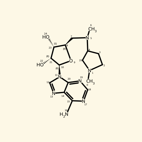 CN1CCC(N(C)C[C@H]2O[C@@H](n3cnc4c(N)ncnc43)[C@H](O)[C@@H]2O)C1